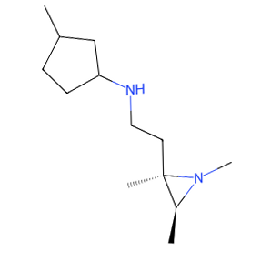 CC1CCC(NCC[C@]2(C)[C@H](C)N2C)C1